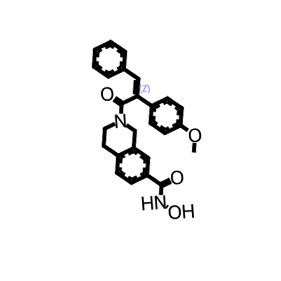 COc1ccc(/C(=C/c2ccccc2)C(=O)N2CCc3ccc(C(=O)NO)cc3C2)cc1